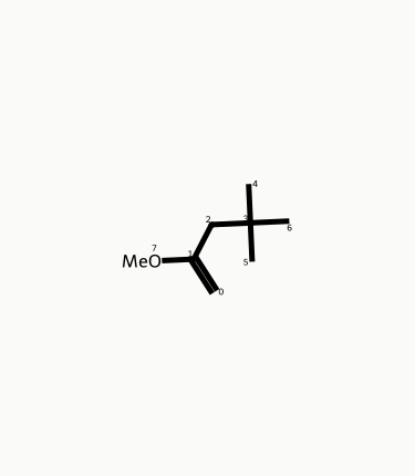 C=C(CC(C)(C)C)OC